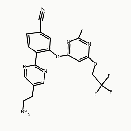 Cc1nc(OCC(F)(F)F)cc(Oc2cc(C#N)ccc2-c2ncc(CCN)cn2)n1